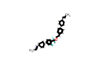 C/C=C/[C@H]1CC[C@H](c2ccc(CCOC(F)(F)c3ccc([C@H]4CC[C@H](/C=C/C)CC4)cc3F)cc2)CC1